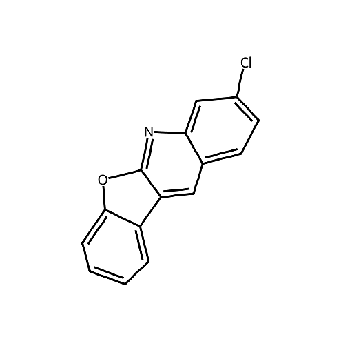 Clc1ccc2cc3c(nc2c1)oc1ccccc13